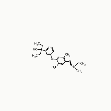 CCN(C)C=Nc1cc(C)c(Oc2cccc(C(O)(CC)CC)c2)cc1C